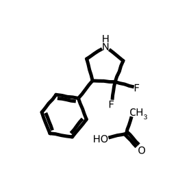 CC(=O)O.FC1(F)CNCC1c1ccccc1